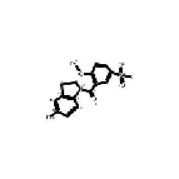 CC(C)Oc1ccc(S(C)(=O)=O)cc1C(=O)N1CCc2cc(Cl)ccc21